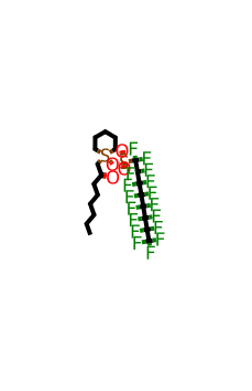 CCCCCCC(=O)CS1(OS(=O)(=O)C(F)(F)C(F)(F)C(F)(F)C(F)(F)C(F)(F)C(F)(F)C(F)(F)C(F)(F)F)CCCCC1